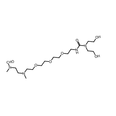 CN(C=O)CCN(C)CCOCCOCCOCCNC(=O)N(CCO)CCO